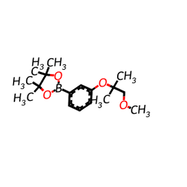 COCC(C)(C)Oc1cccc(B2OC(C)(C)C(C)(C)O2)c1